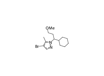 COCCC(C1CCCCC1)n1ncc(Br)c1C